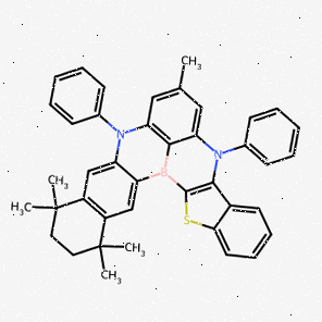 Cc1cc2c3c(c1)N(c1ccccc1)c1c(sc4ccccc14)B3c1cc3c(cc1N2c1ccccc1)C(C)(C)CCC3(C)C